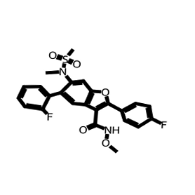 CONC(=O)c1c(-c2ccc(F)cc2)oc2cc(N(C)S(C)(=O)=O)c(-c3ccccc3F)cc12